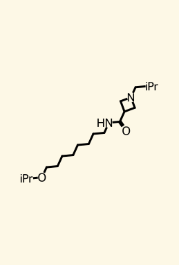 CC(C)CN1CC(C(=O)NCCCCCCCCOC(C)C)C1